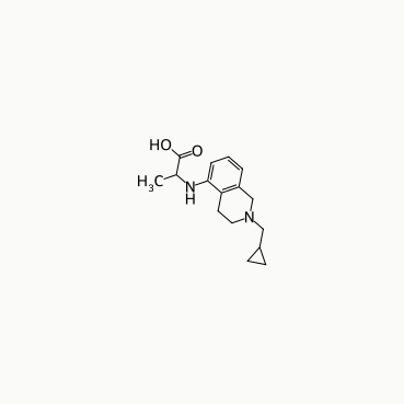 CC(Nc1cccc2c1CCN(CC1CC1)C2)C(=O)O